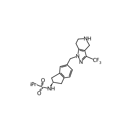 CC(C)S(=O)(=O)N[C@@H]1Cc2ccc(Cn3nc(C(F)(F)F)c4c3CCNC4)cc2C1